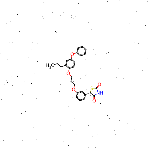 CCCc1cc(Oc2ccccc2)ccc1OCCCOc1cccc([C@@H]2SC(=O)NC2=O)c1